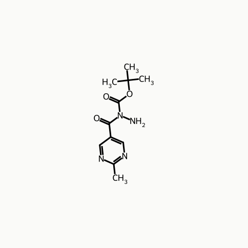 Cc1ncc(C(=O)N(N)C(=O)OC(C)(C)C)cn1